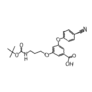 CC(C)(C)OC(=O)NCCCOc1cc(Oc2ccc(C#N)cc2)cc(C(=O)O)c1